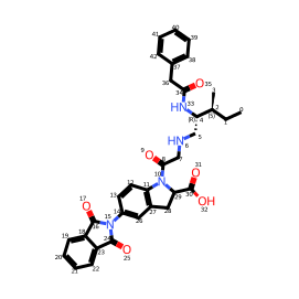 CC[C@H](C)[C@H](CNCC(=O)N1c2ccc(N3C(=O)c4ccccc4C3=O)cc2CC1C(=O)O)NC(=O)Cc1ccccc1